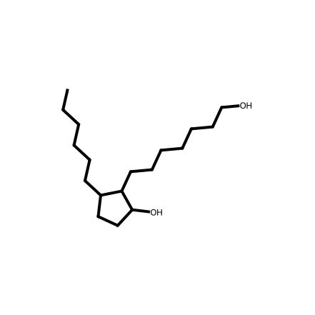 CCCCCCC1CCC(O)C1CCCCCCCO